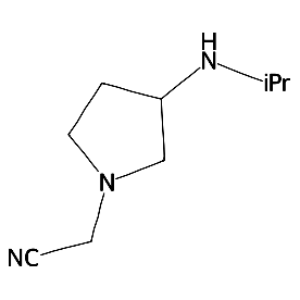 CC(C)NC1CCN(CC#N)C1